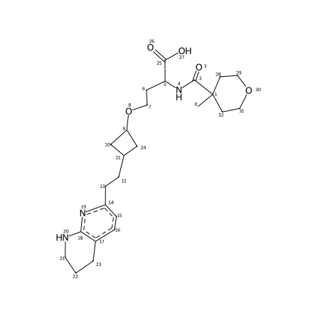 CC1(C(=O)NC(CCOC2CC(CCc3ccc4c(n3)NCCC4)C2)C(=O)O)CCOCC1